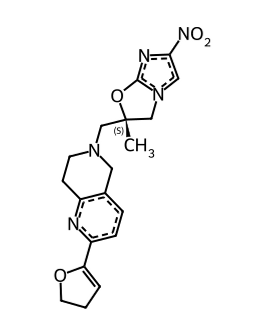 C[C@]1(CN2CCc3nc(C4=CCCO4)ccc3C2)Cn2cc([N+](=O)[O-])nc2O1